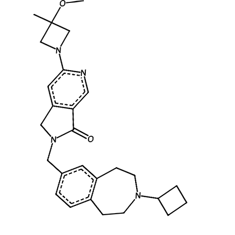 COC1(C)CN(c2cc3c(cn2)C(=O)N(Cc2ccc4c(c2)CCN(C2CCC2)CC4)C3)C1